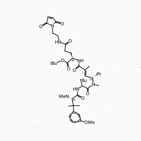 CN[C@H](C(=O)NC(C(=O)N(C)[C@H](/C=C(\C)C(=O)N[C@H](CCC(=O)NCCN1C(=O)C=CC1=O)C(=O)OC(C)(C)C)C(C)C)C(C)(C)C)C(C)(C)c1cccc(OC)c1